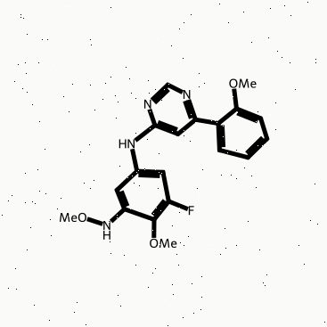 CONc1cc(Nc2cc(-c3ccccc3OC)ncn2)cc(F)c1OC